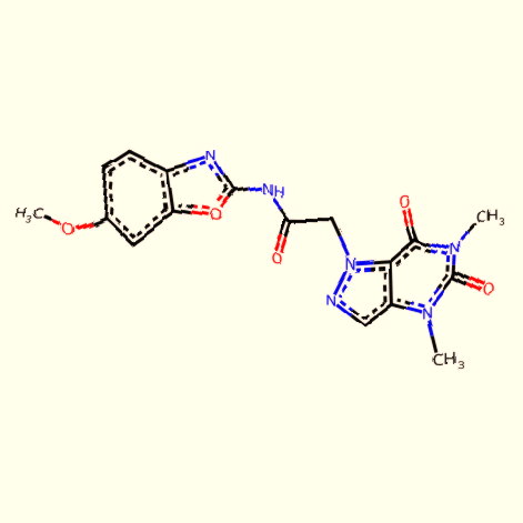 COc1ccc2nc(NC(=O)Cn3ncc4c3c(=O)n(C)c(=O)n4C)oc2c1